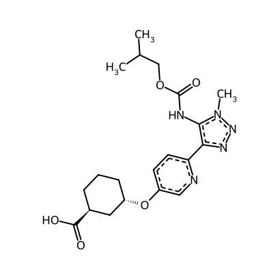 CC(C)COC(=O)Nc1c(-c2ccc(O[C@H]3CCC[C@H](C(=O)O)C3)cn2)nnn1C